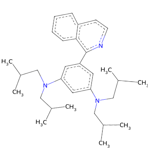 CC(C)CN(CC(C)C)c1cc(-c2nccc3ccccc23)cc(N(CC(C)C)CC(C)C)c1